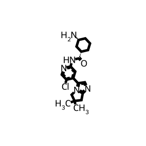 CC1(C)Cc2ncc(-c3cc(NC(=O)[C@H]4CCC[C@@H](N)C4)ncc3Cl)n2C1